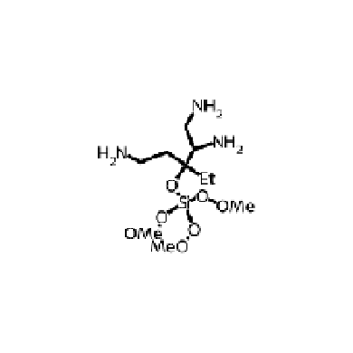 CCC(CCN)(O[Si](OOC)(OOC)OOC)C(N)CN